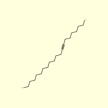 [CH2]CCCCCCC#CCCCCCCCCCCC[CH2]